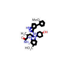 COc1ccccc1-c1ccc2[nH]nc(NC3(CC(C)CC(N)=O)Nc4cc(C(=O)O)ccc4N3C3CCC(O)CC3)c2c1